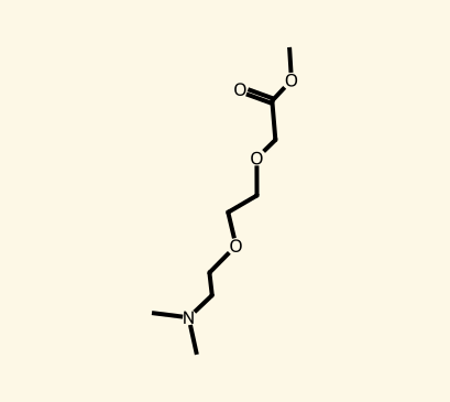 COC(=O)COCCOCCN(C)C